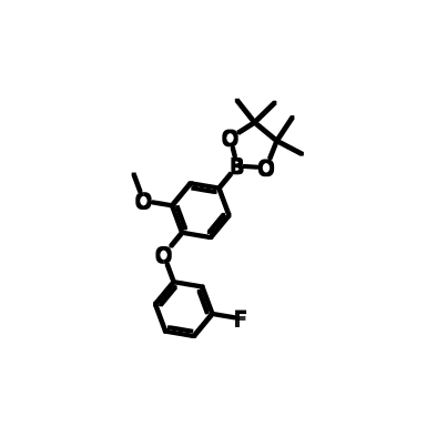 COc1cc(B2OC(C)(C)C(C)(C)O2)ccc1Oc1cccc(F)c1